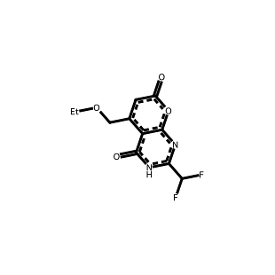 CCOCc1cc(=O)oc2nc(C(F)F)[nH]c(=O)c12